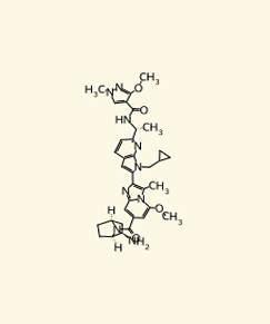 COc1nn(C)cc1C(=O)N[C@H](C)c1ccc2cc(-c3nc4cc(C(=O)N5[C@H]6CC[C@@H]5[C@H](N)C6)cc(OC)n4c3C)n(CC3CC3)c2n1